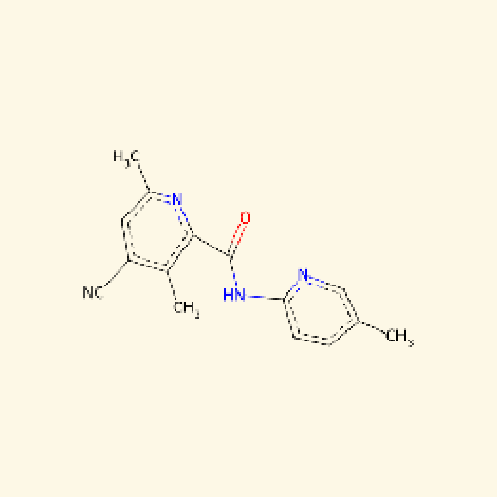 Cc1ccc(NC(=O)c2nc(C)cc(C#N)c2C)nc1